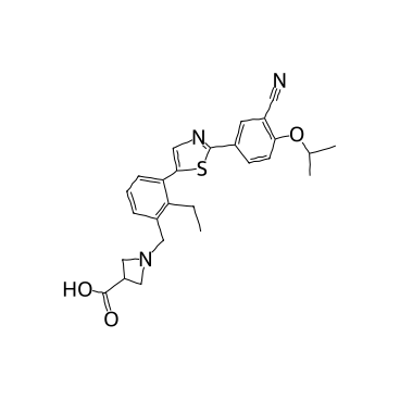 CCc1c(CN2CC(C(=O)O)C2)cccc1-c1cnc(-c2ccc(OC(C)C)c(C#N)c2)s1